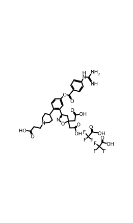 N=C(N)Nc1ccc(C(=O)Oc2ccc(C3CCN(CCC(=O)O)CC3)c(C3=NOC(CC(=O)O)(CC(=O)O)C3)c2)cc1.O=C(O)C(F)(F)F.O=C(O)C(F)(F)F